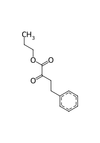 CCCOC(=O)C(=O)CCc1ccccc1